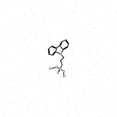 CCOP(=O)(CCCn1c2ccccc2c2ccccc21)OCC